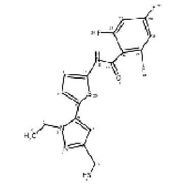 CCn1nc(CS)cc1-c1ccc(NC(=O)c2c(F)cc(F)cc2F)s1